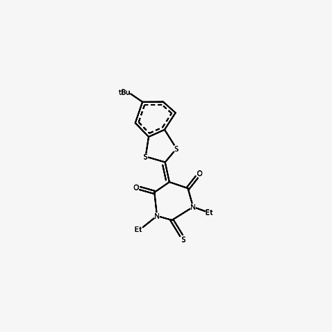 CCN1C(=O)C(=C2Sc3ccc(C(C)(C)C)cc3S2)C(=O)N(CC)C1=S